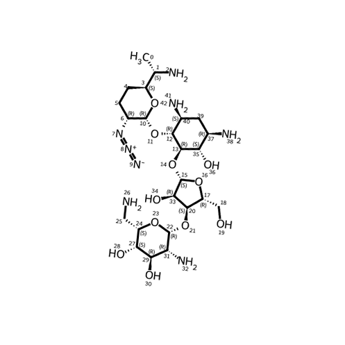 C[C@H](N)[C@@H]1CC[C@@H](N=[N+]=[N-])[C@@H](O[C@H]2[C@H](O[C@@H]3O[C@H](CO)[C@@H](O[C@H]4O[C@@H](CN)[C@@H](O)[C@H](O)[C@H]4N)[C@H]3O)[C@@H](O)[C@H](N)C[C@@H]2N)O1